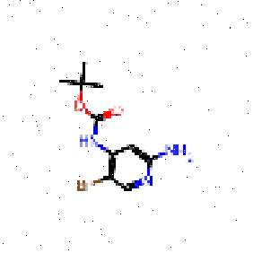 CC(C)(C)OC(=O)Nc1cc(N)ncc1Br